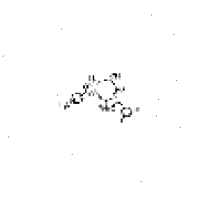 C/C(=C\c1cc(F)cc(F)c1)[C@H]1OC(=O)C[C@H](O)CC[C@H](C)[C@@H](OC(=O)N2CCN(C)CC2)/C=C/[C@@H]1C